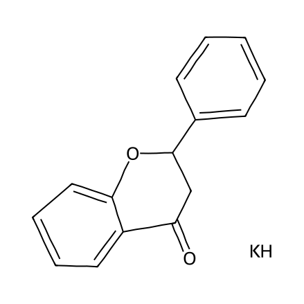 O=C1CC(c2ccccc2)Oc2ccccc21.[KH]